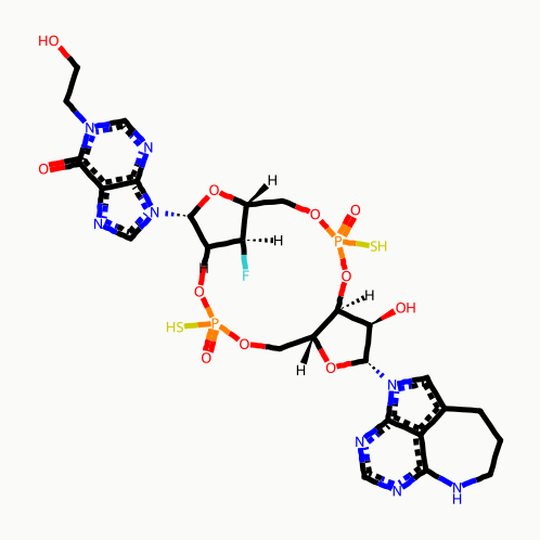 O=c1c2ncn([C@@H]3O[C@@H]4COP(=O)(S)O[C@H]5[C@@H](O)[C@H](n6cc7c8c(ncnc86)NCCC7)O[C@@H]5COP(=O)(S)O[C@@H]3[C@@H]4F)c2ncn1CCO